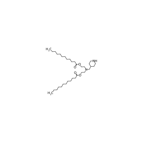 CCCCCCCCCCCC(=O)OCCN(CCOC(=O)CCCCCCCCCCC)CC1CCNCC1